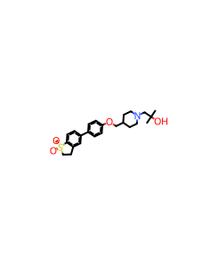 CC(C)(O)CN1CCC(COc2ccc(-c3ccc4c(c3)CCS4(=O)=O)cc2)CC1